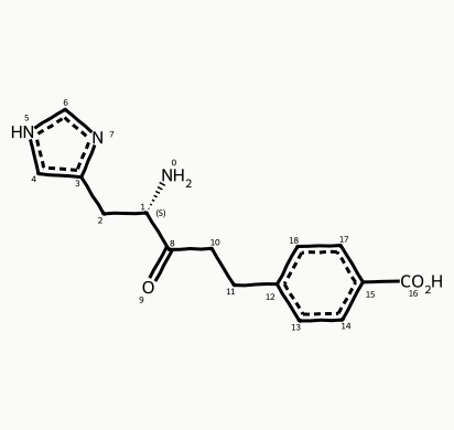 N[C@@H](Cc1c[nH]cn1)C(=O)CCc1ccc(C(=O)O)cc1